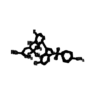 Cc1ccc(S(=O)(=O)n2cc(-c3ncc(F)c(NC(CC(=O)O)C(C)(C)C)n3)c3cc(Cl)cnc32)cc1